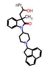 CCCC(O)CC1(C)C(=O)N(C2CCN(C3Cc4cccc5cccc3c45)CC2)c2ccccc21